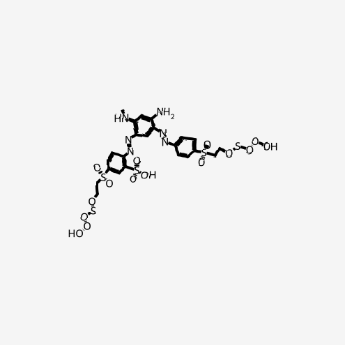 CNc1cc(N)c(/N=N/c2ccc(S(=O)(=O)CCOSOOO)cc2)cc1/N=N/c1ccc(S(=O)(=O)CCOSOOO)cc1S(=O)(=O)O